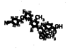 Cc1cc(Cc2nc3ccc(C(=O)O)cc3n2[C@@H]2COCC2(C)C)c(F)cc1-c1ccc(F)c(OCc2ccc(C#N)cc2)n1